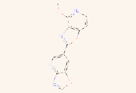 COc1nccc2oc(-c3cnc4ncoc4c3)nc12